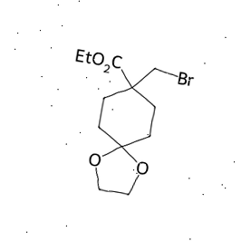 CCOC(=O)C1(CBr)CCC2(CC1)OCCO2